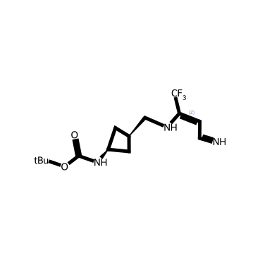 CC(C)(C)OC(=O)N[C@H]1C[C@@H](CN/C(=C\C=N)C(F)(F)F)C1